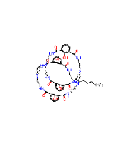 CC(=O)NCCCCC1CN2CCNC(=O)c3cccc(c3O)C(=O)NCCN(CCNC(=O)c3cccc(c3O)C(=O)N1)CCN1CCNC(=O)c3cccc(c3O)C(=O)NCCN(CCNC(=O)c3cccc(c3O)C(=O)NCC1)CC2